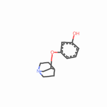 Oc1cccc(OC2CN3CCC2CC3)c1